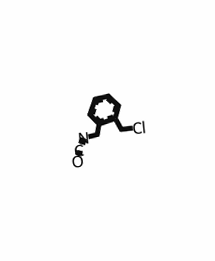 O=C=NCc1ccccc1CCl